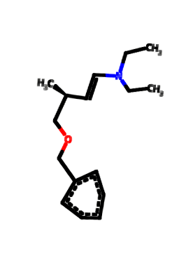 CCN(C=C[C@H](C)COCc1ccccc1)CC